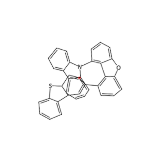 C1=CC2Sc3ccccc3C2C=C1c1cccc2oc3cccc(-n4c5ccccc5c5ccccc54)c3c12